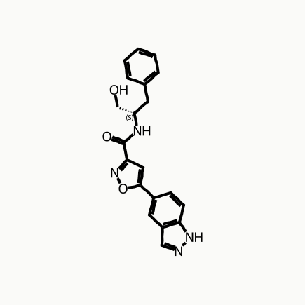 O=C(N[C@H](CO)Cc1ccccc1)c1cc(-c2ccc3[nH]ncc3c2)on1